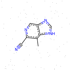 Cc1c(C#N)ncc2nc[nH]c12